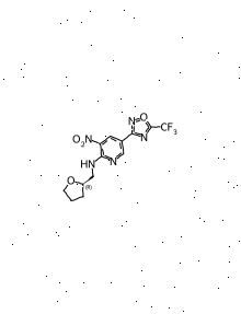 O=[N+]([O-])c1cc(-c2noc(C(F)(F)F)n2)cnc1NC[C@H]1CCCO1